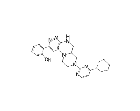 Oc1ccccc1-c1cc2c(nn1)NCC1CN(c3nccc(C4CCCCC4)n3)CCN21